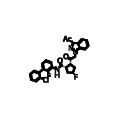 CC(=O)c1nn(CC(=O)[C@@H]2C[C@H](F)C[C@@H]2C(=O)Nc2cccc(-c3ccccc3Cl)c2F)c2ccccc12